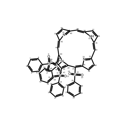 O=S(=O)(c1ccccc1)c1c(S(=O)(=O)c2ccccc2)c2c(S(=O)(=O)c3ccccc3)c3nc(cc4ccc(cc5nc(cc1n2S(=O)(=O)c1ccccc1)C=C5)[nH]4)C=C3